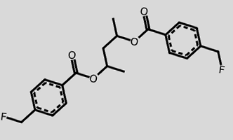 CC(CC(C)OC(=O)c1ccc(CF)cc1)OC(=O)c1ccc(CF)cc1